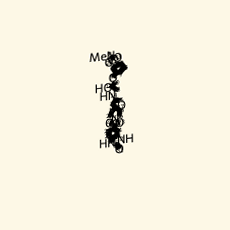 CNS(=O)(=O)c1cccc(OC[C@@H](O)CN[C@H]2COC3(CCN(S(=O)(=O)c4ccc5[nH]c(=O)[nH]c5c4)CC3)C2)c1